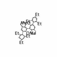 CCc1cc(CC)c(-c2cc3c(c(-c4c(OC)c(-c5c(CC)cc(CC)cc5CC)cc5ccccc45)c2OC)C=CCC3)c(CC)c1